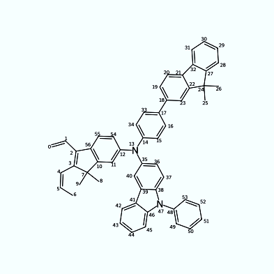 C=CC1=C(/C=C\C)C(C)(C)c2cc(N(c3ccc(-c4ccc5c(c4)C(C)(C)c4ccccc4-5)cc3)c3ccc4c(c3)c3ccccc3n4-c3ccccc3)ccc21